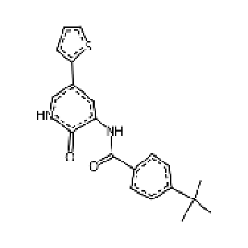 CC(C)(C)c1ccc(C(=O)Nc2cc(-c3cccs3)c[nH]c2=O)cc1